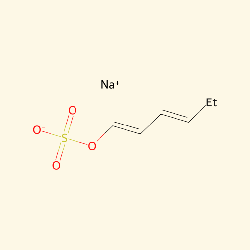 CCC=CC=COS(=O)(=O)[O-].[Na+]